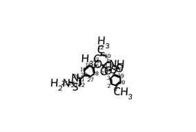 Cc1ccc(S(=O)(=O)N[C@@H](CC(C)C)C(=O)Oc2ccc(-c3csc(N)n3)cc2)cc1